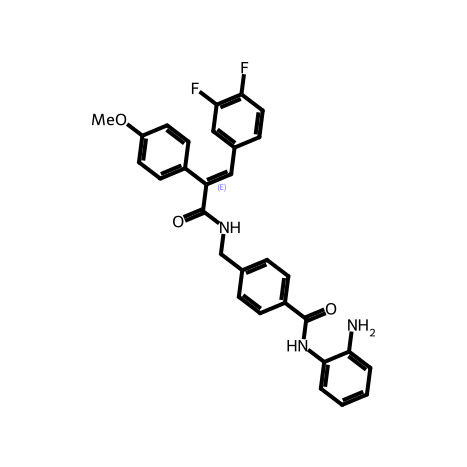 COc1ccc(/C(=C\c2ccc(F)c(F)c2)C(=O)NCc2ccc(C(=O)Nc3ccccc3N)cc2)cc1